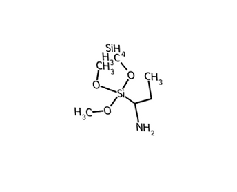 CCC(N)[Si](OC)(OC)OC.[SiH4]